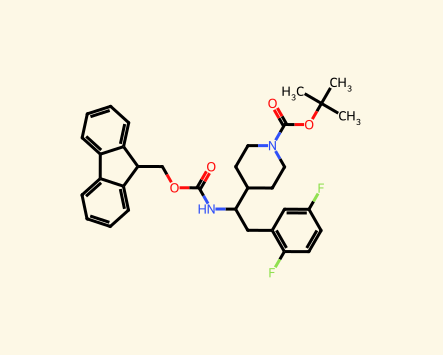 CC(C)(C)OC(=O)N1CCC(C(Cc2cc(F)ccc2F)NC(=O)OCC2c3ccccc3-c3ccccc32)CC1